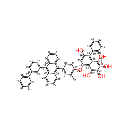 Cc1cc(-c2c3ccccc3c(-c3cccc(-c4ccccc4)c3)c3ccccc23)ccc1Oc1cc(O)c(-c2ccccc2)c2c(O)c(O)c(O)c(O)c12